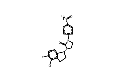 O=C1[C@@H](N2CCc3c2ccc(F)c3Cl)CCN1c1ccc([SH](=O)=O)cc1